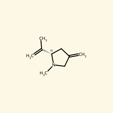 C=C1C[C@@H](C(=C)C)N(C)C1